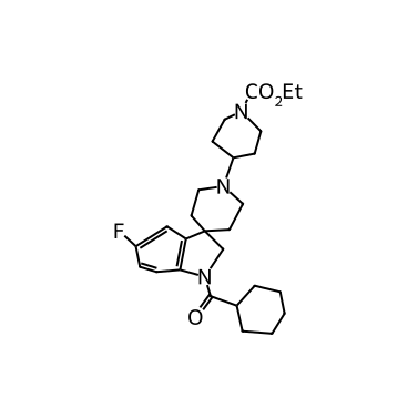 CCOC(=O)N1CCC(N2CCC3(CC2)CN(C(=O)C2CCCCC2)c2ccc(F)cc23)CC1